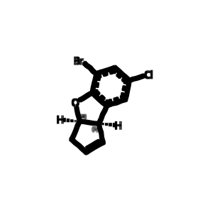 Clc1cc(Br)c2c(c1)[C@H]1C=CC[C@H]1O2